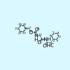 O=C[C@H](Cc1ccccc1)NC(=O)CNC(=O)OCc1ccccc1